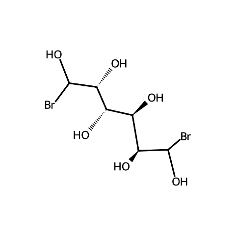 OC(Br)[C@@H](O)[C@H](O)[C@H](O)[C@@H](O)C(O)Br